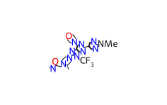 CNc1ncc(-c2nc(N3CCOCC3)c3nc(N4CCN(CC(=O)N(C)C)[C@H](C)C4)n(CC(F)(F)F)c3n2)cn1